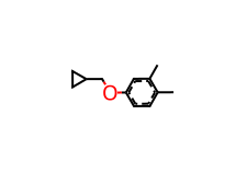 Cc1ccc(OCC2CC2)cc1C